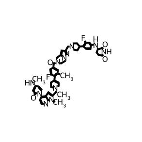 CNc1ccn(-c2ccnc3c2cc([C@H](C)N2CC=C(c4c(C)cc(C(=O)N5CCn6nc(CN7CCC(c8ccc(N[C@@H]9CCC(=O)NC9=O)cc8F)CC7)cc6C5)cc4F)CC2)n3C)c(=O)c1